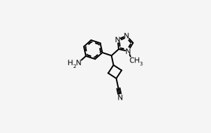 Cn1cnnc1C(c1cccc(N)c1)C1CC(C#N)C1